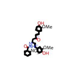 COc1cc(/C=C/C(=O)CC(/C=C/c2ccc(O)c(OC)c2)=N/NC(=O)c2ccccc2[N+](=O)[O-])ccc1O